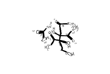 CC(=O)C(O)(CO)C(O)(C(C)=O)C(C)=O.CC(=O)O